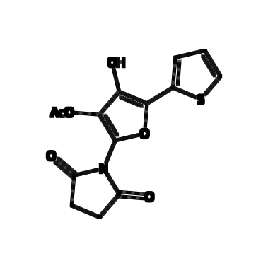 CC(=O)Oc1c(N2C(=O)CCC2=O)oc(-c2cccs2)c1O